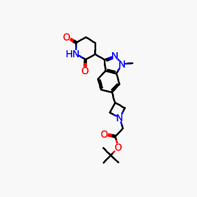 Cn1nc(C2CCC(=O)NC2=O)c2ccc(C3CN(CC(=O)OC(C)(C)C)C3)cc21